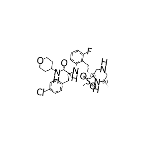 C[C@H]1CNC[C@](CCc2c(F)cccc2N[C@@H](Cc2ccc(Cl)cc2)C(=O)NC2CCOCC2)(S(C)(=O)=O)N1